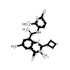 Cc1cc([C@@H](C)Nc2ccc(Cl)nc2C(=O)O)c2nc(C3CCC3)n(C)c(=O)c2c1